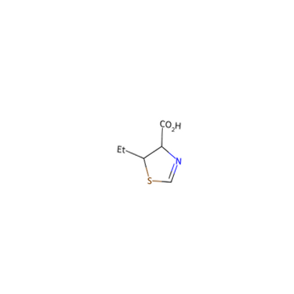 CCC1SC=NC1C(=O)O